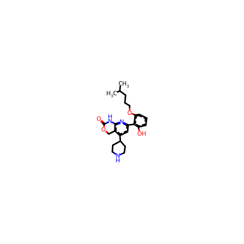 CC(C)CCCOc1cccc(O)c1-c1cc(C2CCNCC2)c2c(n1)NC(=O)OC2